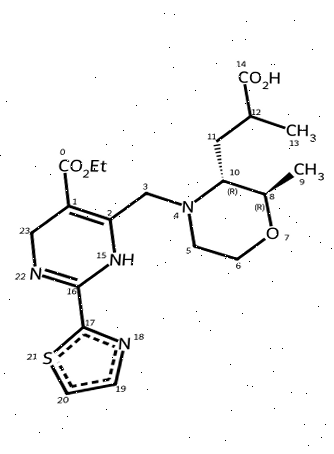 CCOC(=O)C1=C(CN2CCO[C@H](C)[C@H]2CC(C)C(=O)O)NC(c2nccs2)=NC1